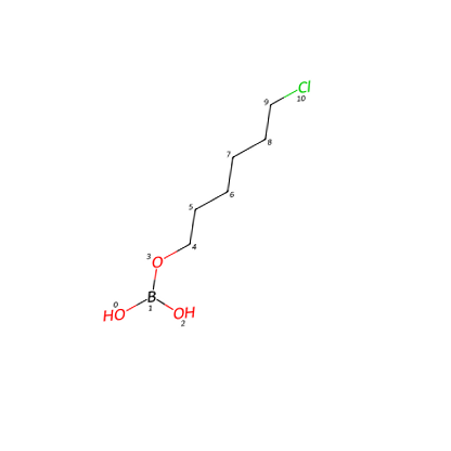 OB(O)OCCCCCCCl